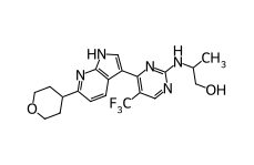 CC(CO)Nc1ncc(C(F)(F)F)c(-c2c[nH]c3nc(C4CCOCC4)ccc23)n1